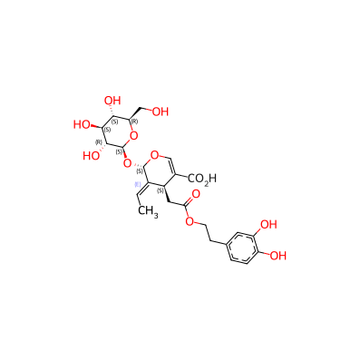 C/C=C1/[C@H](O[C@@H]2O[C@H](CO)[C@@H](O)[C@H](O)[C@H]2O)OC=C(C(=O)O)[C@H]1CC(=O)OCCc1ccc(O)c(O)c1